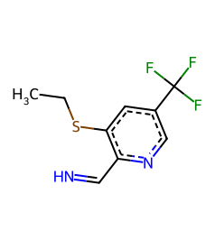 CCSc1cc(C(F)(F)F)cnc1C=N